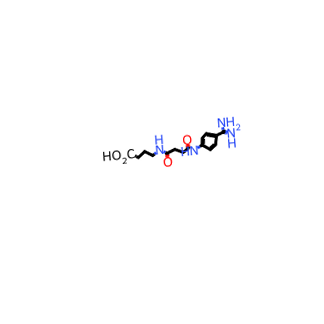 N=C(N)c1ccc(NC(=O)CCC(=O)NCCCC(=O)O)cc1